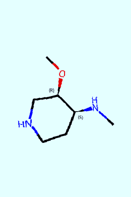 CN[C@H]1CCNC[C@H]1OC